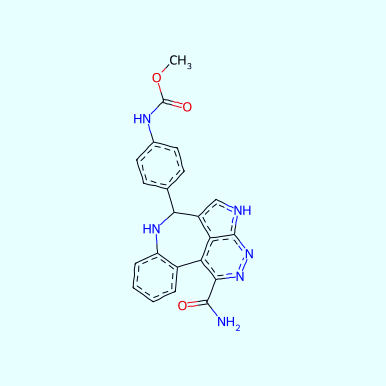 COC(=O)Nc1ccc(C2Nc3ccccc3-c3c(C(N)=O)nnc4[nH]cc2c34)cc1